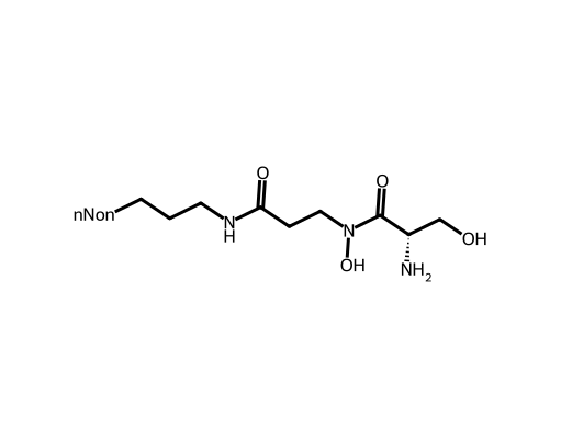 CCCCCCCCCCCCNC(=O)CCN(O)C(=O)[C@@H](N)CO